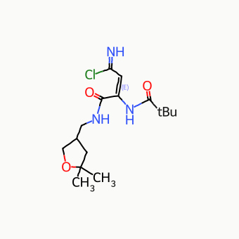 CC1(C)CC(CNC(=O)/C(=C\C(=N)Cl)NC(=O)C(C)(C)C)CO1